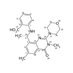 Cc1cc([C@H](C)Nc2ccccc2C(=O)O)c2nc(N3CCOCC3)n(C)c(=O)c2c1